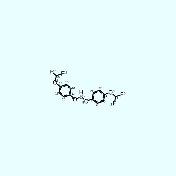 FC(F)Oc1ccc(OBOc2ccc(OC(F)F)cc2)cc1